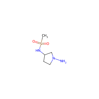 CS(=O)(=O)NC1CCN(N)C1